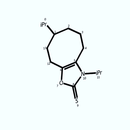 CC(C)C1CCCc2c(oc(=S)n2C(C)C)CC1